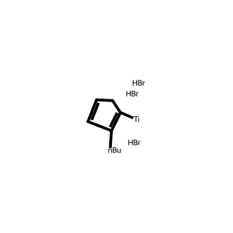 Br.Br.Br.CCCCC1=[C]([Ti])CC=C1